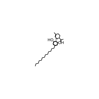 C=C(C)C1CCC(C)=C[C@H]1c1c(O)cc(CCCCCCCCCCCCC)cc1O